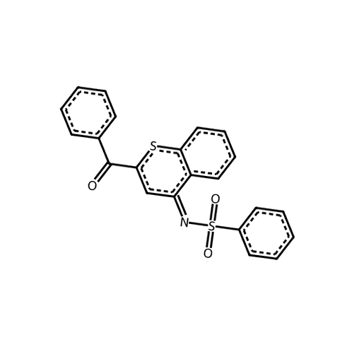 O=C(c1ccccc1)c1c/c(=N/S(=O)(=O)c2ccccc2)c2ccccc2s1